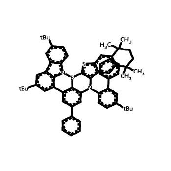 CC(C)(C)c1ccc(N2c3cc(-c4ccccc4)cc4c3B(c3sc5cc6c(cc5c32)C(C)(C)CCC6(C)C)n2c3ccc(C(C)(C)C)cc3c3cc(C(C)(C)C)cc-4c32)c(-c2ccccc2)c1